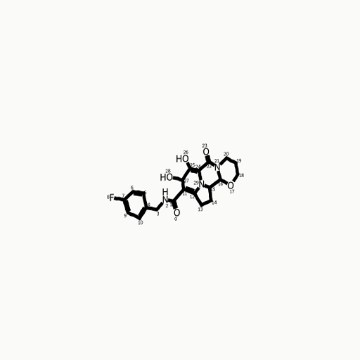 O=C(NCc1ccc(F)cc1)C1=C2CCC3C4OCCCN4C(=O)C(=C(O)C1O)N23